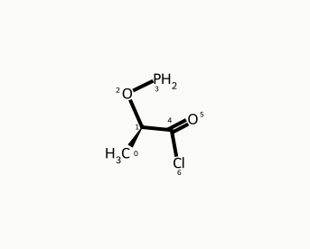 C[C@@H](OP)C(=O)Cl